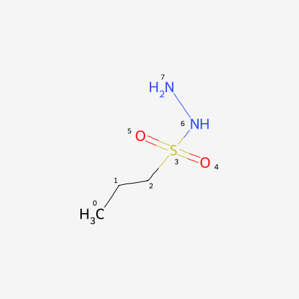 CCCS(=O)(=O)NN